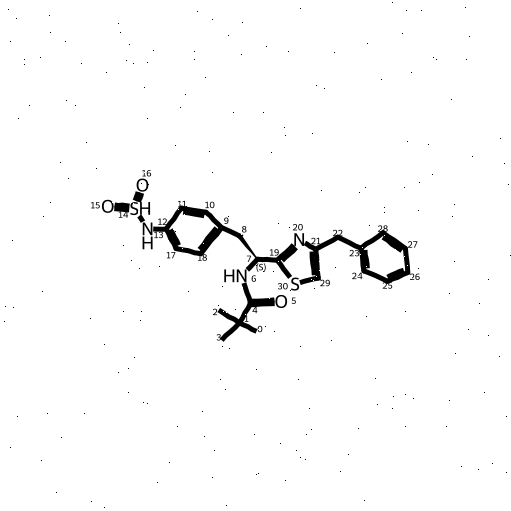 CC(C)(C)C(=O)N[C@@H](Cc1ccc(N[SH](=O)=O)cc1)c1nc(Cc2ccccc2)cs1